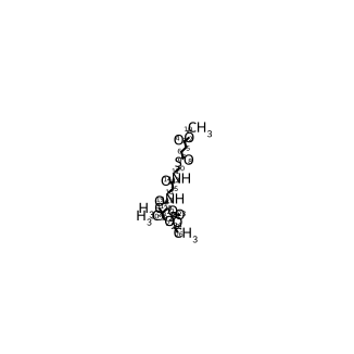 CCOC(=O)CCC(=O)SCCNC(=O)CCNC(=O)[C@@H]1OP(=O)(OCC)OCC1(C)C